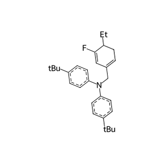 CCC1CC=C(CN(c2ccc(C(C)(C)C)cc2)c2ccc(C(C)(C)C)cc2)C=C1F